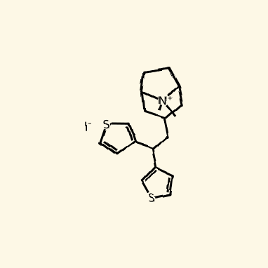 C[N+]1(C)C2CCC1CC(CC(c1ccsc1)c1ccsc1)C2.[I-]